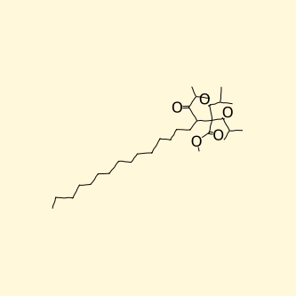 CCCCCCCCCCCCCCCC(C(=O)C(C)C)C(C(=O)OC)(C(=O)C(C)C)C(=O)C(C)C